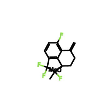 C=C1CCC2(OC)c3c(ccc(F)c31)C(F)(F)C2(C)F